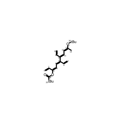 C=C\C(=C/C=C(C=C)/C(C=C)=C/C=C(\C)OC(C)(C)C)OC(=O)C(C)(C)C